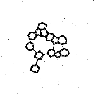 c1ccc(-c2nc(-c3ccccc3)nc(-c3cc(-n4c5ccccc5c5cc6c7cccc8c9ccccc9n(c6cc54)c87)c4c(c3)sc3ccccc34)n2)cc1